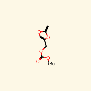 C=C1OC=C(COC(=O)OC(C)(C)C)O1